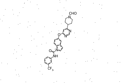 O=CN1CCC(c2cc(Oc3ccc4c(ccn4C(=O)Nc4cccc(C(F)(F)F)c4)c3)ncn2)CC1